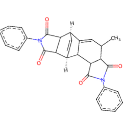 CC1C=C2C(C3C(=O)N(c4ccccc4)C(=O)C13)[C@@H]1C=C[C@H]2C2C(=O)N(c3ccccc3)C(=O)C21